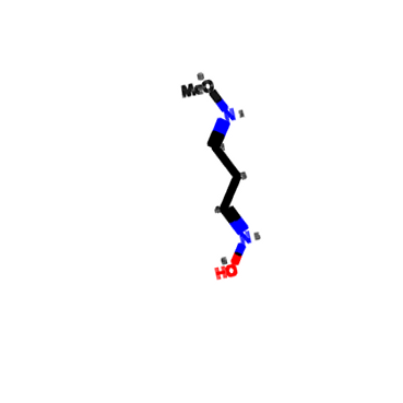 CON=CCC=NO